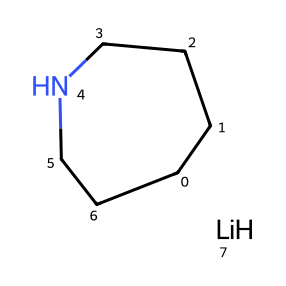 C1CCCNCC1.[LiH]